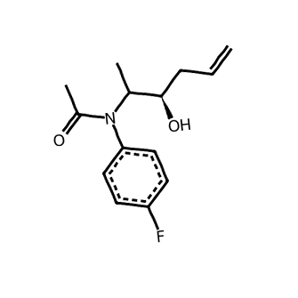 C=CC[C@@H](O)C(C)N(C(C)=O)c1ccc(F)cc1